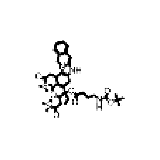 CCC1(OC(=O)CCCNC(=O)OC(C)(C)C)C2=C(COC1CC(=O)[Si](C)(C)C)C(CC(=O)[Si](C)(C)C)C1=C(C2)NC2=Cc3ccccc3CN21